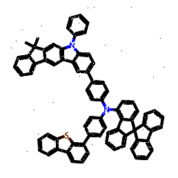 CC1(C)c2ccccc2-c2cc3c4cc(-c5ccc(N(c6ccc(-c7cccc8c7sc7ccccc78)cc6)c6cccc7c6-c6ccccc6C76c7ccccc7-c7ccccc76)cc5)ccc4n(-c4ccccc4)c3cc21